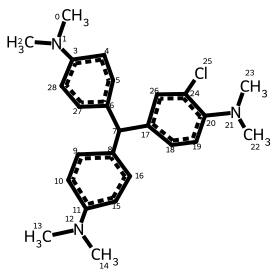 CN(C)c1ccc(C(c2ccc(N(C)C)cc2)c2ccc(N(C)C)c(Cl)c2)cc1